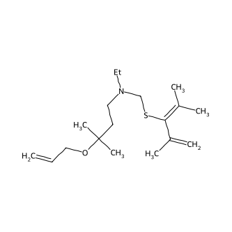 C=CCOC(C)(C)CCN(CC)CSC(C(=C)C)=C(C)C